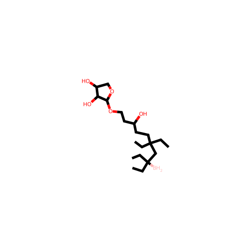 BC(CC)(CC)CC(CC)(CC)CCC(O)CCOC1OCC(O)C1O